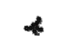 CC(C)(C)c1ccc(N2B3c4cc5sc6ccccc6c5cc4-n4c5cc6c(cc5c5ccc(c3c54)-c3cc4c(cc32)oc2ccccc24)-c2ccccc2C6(C)C)cc1